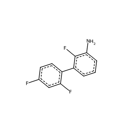 Nc1cccc(-c2ccc(F)cc2F)c1F